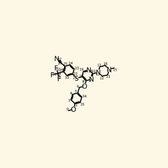 COc1ccc(COc2nc(N3CCN(C)CC3)ncc2Sc2ccc(C#N)c(C(F)(F)F)c2)cc1